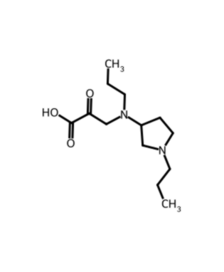 CCCN1CCC(N(CCC)CC(=O)C(=O)O)C1